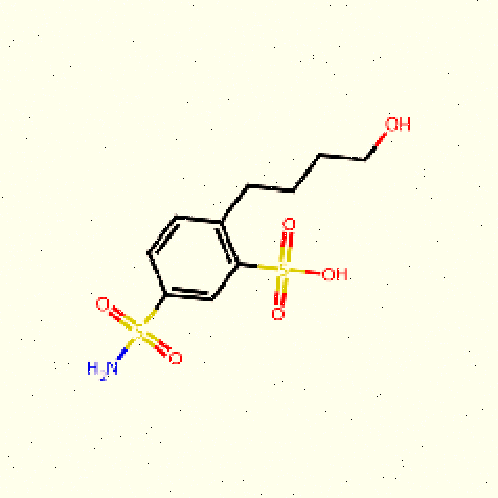 NS(=O)(=O)c1ccc(CCCCO)c(S(=O)(=O)O)c1